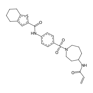 C=CC(=O)NC1CCCN(S(=O)(=O)c2ccc(NC(=O)c3cc4c(s3)CCCC4)cc2)CC1